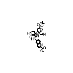 CN(C)C(=O)c1ccc2cc(Nc3nn([C@]4(CC#N)CCC(C(=O)OC(C)(C)C)OC4)c4cc[nH]c(=O)c34)ccc2n1